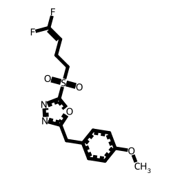 COc1ccc(Cc2nnc(S(=O)(=O)CCC=C(F)F)o2)cc1